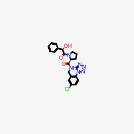 O=C(NCc1cc(Cl)ccc1-n1cnnn1)[C@@H]1CCCN1C(=O)[C@H](O)c1ccccc1